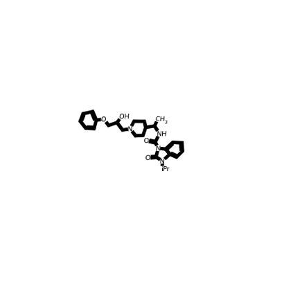 CC(NC(=O)n1c(=O)n(C(C)C)c2ccccc21)C1CCN(CC(O)COc2ccccc2)CC1